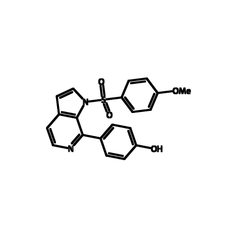 COc1ccc(S(=O)(=O)n2ccc3ccnc(-c4ccc(O)cc4)c32)cc1